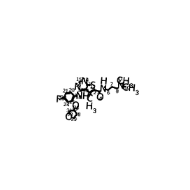 Cc1c(C(=O)NCCCN(C)C)sc2ncnc(Nc3ccc(F)cc3O[C@@H]3CCOC3)c12